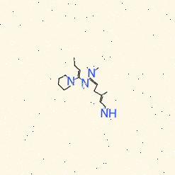 CCC=C(N1CCCCC1)N(C)/C(=C\C/C(C)=C/C=N)N(C)C